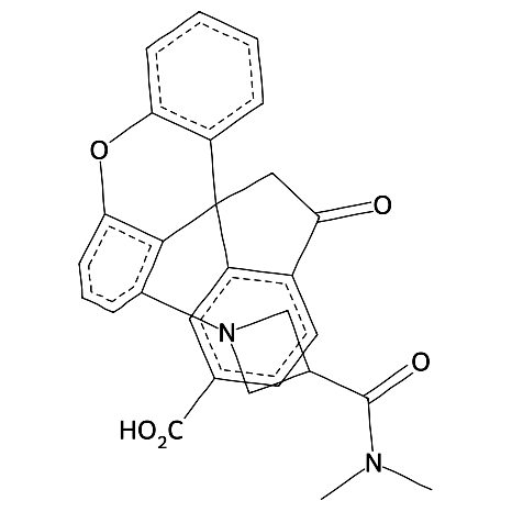 CN(C)C(=O)C1CN(c2cccc3c2C2(CC(=O)c4ccc(C(=O)O)cc42)c2ccccc2O3)C1